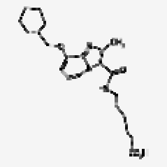 Cc1nc2c(OCC3CCCCC3)cccn2c1C(=O)NCCCCCC(=O)O